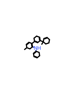 CC1C=CC(C2=CC(C3(C)C=CCCC3)=CCC2)=C(NC2=CC=CCC2)C1